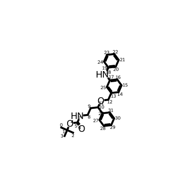 CC(C)(C)OC(=O)NCCC(OCc1cccc(Nc2ccccc2)c1)c1ccccc1